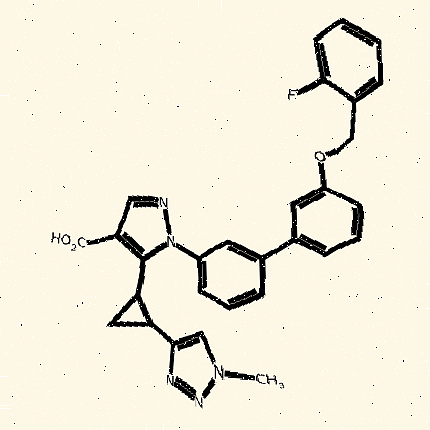 Cn1cc(C2CC2c2c(C(=O)O)cnn2-c2cccc(-c3cccc(OCc4ccccc4F)c3)c2)nn1